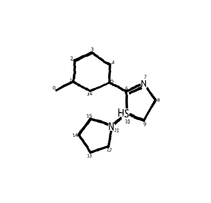 CC1CCCC(C2=NCC[SH]2N2CCCC2)C1